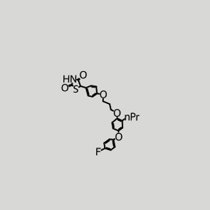 CCCc1cc(Oc2ccc(F)cc2)ccc1OCCCOc1ccc(C2SC(=O)NC2=O)cc1